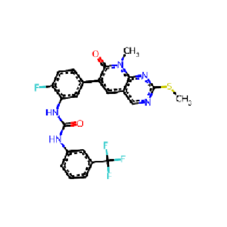 CSc1ncc2cc(-c3ccc(F)c(NC(=O)Nc4cccc(C(F)(F)F)c4)c3)c(=O)n(C)c2n1